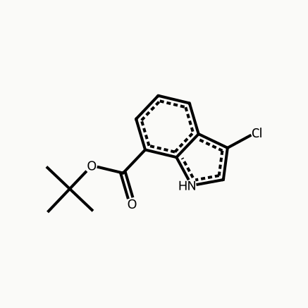 CC(C)(C)OC(=O)c1cccc2c(Cl)c[nH]c12